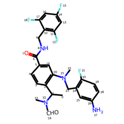 CC(c1ccc(C(=O)NCc2c(F)cc(F)cc2F)cc1N(C)Cc1cc(N)ccc1F)N(C)C=O